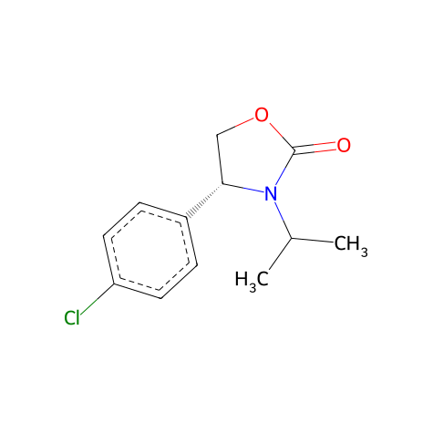 CC(C)N1C(=O)OC[C@H]1c1ccc(Cl)cc1